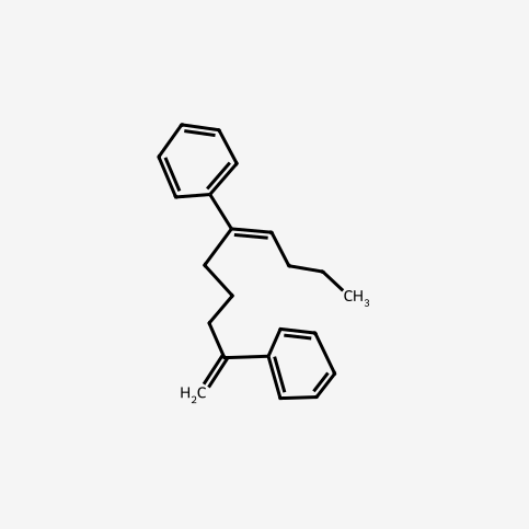 C=C(CCCC(=CCCC)c1ccccc1)c1ccccc1